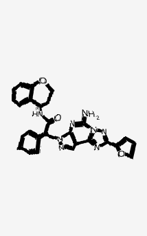 Nc1nc2c(cnn2C(C(=O)N[C@@H]2CCOc3ccccc32)c2ccccc2)c2nc(-c3ccco3)nn12